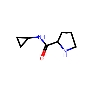 O=C(NC1CC1)C1CCCN1